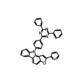 c1ccc(-c2nc(-c3ccccc3)nc(-c3ccc(-n4c5ccccc5c5ccc6oc(-c7ccccc7)cc6c54)cc3)n2)cc1